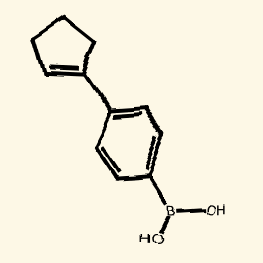 OB(O)c1ccc(C2=CCCC2)cc1